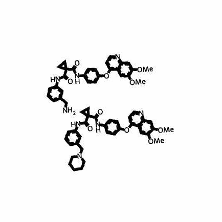 COc1cc2nccc(Oc3ccc(NC(=O)C4(C(=O)Nc5cccc(CN)c5)CC4)cc3)c2cc1OC.COc1cc2nccc(Oc3ccc(NC(=O)C4(C(=O)Nc5cccc(CN6CCCCC6)c5)CC4)cc3)c2cc1OC